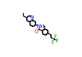 CCc1cnc2cc(NC(=O)c3ccc(/C=C/C(F)(F)F)cc3C)ccc2c1